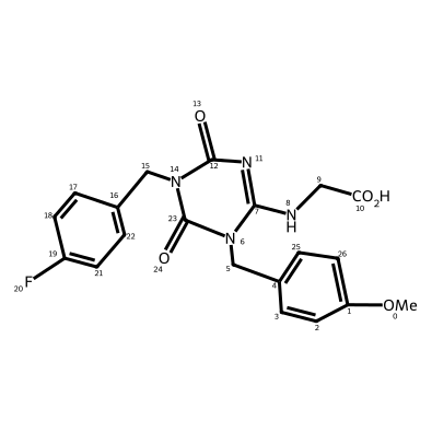 COc1ccc(Cn2c(NCC(=O)O)nc(=O)n(Cc3ccc(F)cc3)c2=O)cc1